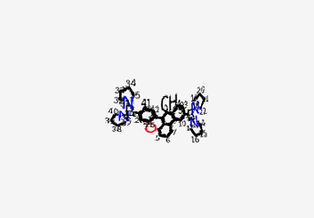 Cc1c2c3c(cccc3c3cc(B(N4CCCC4)N4CCCC4)ccc13)Oc1cc(B(N3CCCC3)N3CCCC3)ccc1-2